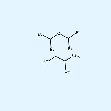 CC(O)CO.CCC(CC)OC(CC)CC